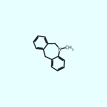 CN1Cc2ccccc2Cc2ccccc21